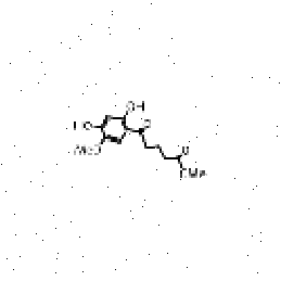 COC(=O)CCCC(=O)c1cc(OC)c(O)cc1O